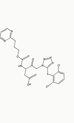 O=C(O)CC(NC(=O)OCCCc1ncccn1)C(=O)Cn1nnnc1Sc1c(Cl)cccc1Cl